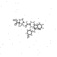 CC1(C)[C@@H](CC(=O)N2CCc3c(n(Cc4cccc(F)c4)c4ncccc34)C2)CC[C@@]1(C)C(=O)O